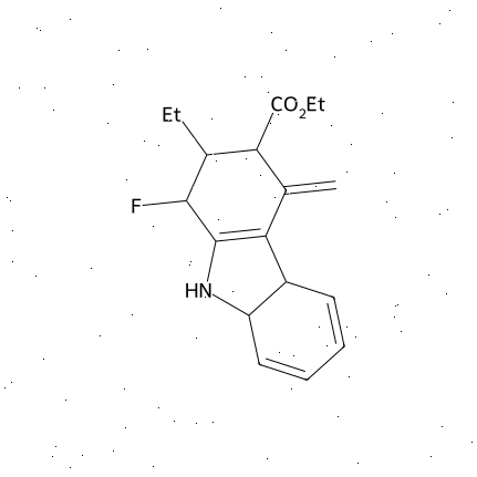 C=C1C2=C(NC3C=CC=CC23)C(F)C(CC)C1C(=O)OCC